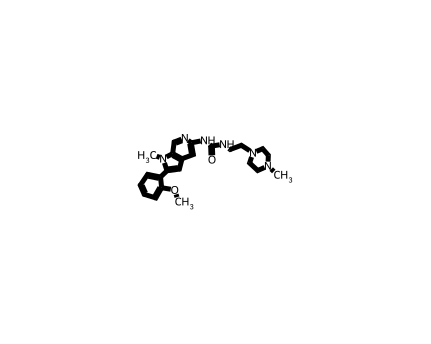 COc1ccccc1-c1cc2cc(NC(=O)NCCN3CCN(C)CC3)ncc2n1C